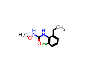 CCc1cccc(F)c1NC(=O)NOC